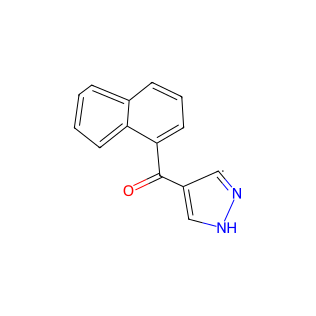 O=C(c1[c]n[nH]c1)c1cccc2ccccc12